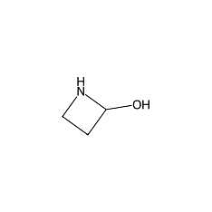 OC1CCN1